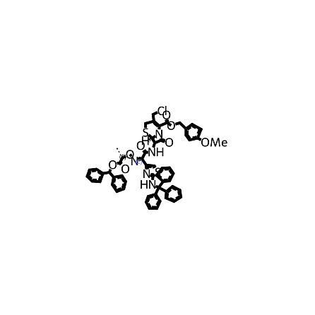 COc1ccc(COC(=O)C2=C(CCl)CS[C@@H]3C(NC(=O)/C(=N\O[C@@H](C)C(=O)OC(c4ccccc4)c4ccccc4)c4csc(NC(c5ccccc5)(c5ccccc5)c5ccccc5)n4)C(=O)N23)cc1